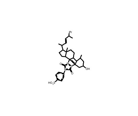 CC(C)C(C)/C=C/C(C)C1CCC2C1(C)CCC1C3C(C)CC(O)CC34C=CC12n1c(=O)n(-c2ccc(S(=O)(=O)O)cc2)c(=O)n14